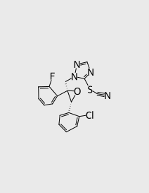 N#CSc1ncnn1C[C@]1(c2ccccc2F)O[C@@H]1c1ccccc1Cl